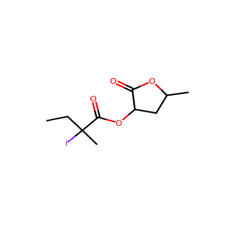 CCC(C)(I)C(=O)OC1CC(C)OC1=O